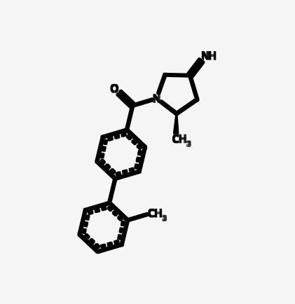 Cc1ccccc1-c1ccc(C(=O)N2CC(=N)C[C@H]2C)cc1